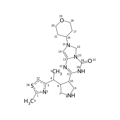 Cc1nc(C(C)C2CNCC2C2=NC3=CN(C4CCOCC4)CN3C(=O)N2)cs1